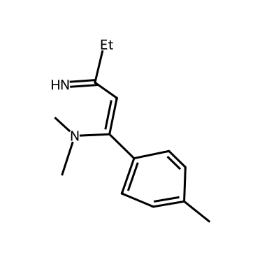 CCC(=N)/C=C(/c1ccc(C)cc1)N(C)C